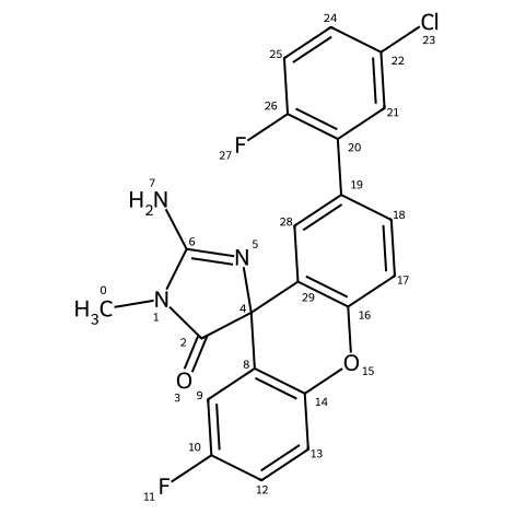 CN1C(=O)C2(N=C1N)c1cc(F)ccc1Oc1ccc(-c3cc(Cl)ccc3F)cc12